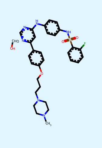 CN1CCN(CCCOc2ccc(-c3cc(Nc4ccc(NS(=O)(=O)c5ccccc5F)cc4)ncn3)cc2)CC1.O=CO